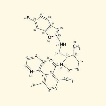 Cc1ccc(F)c(-c2ncccn2)c1C(=O)N1CCC[C@@H](C)[C@H]1CNc1nc2ccc(F)cc2o1